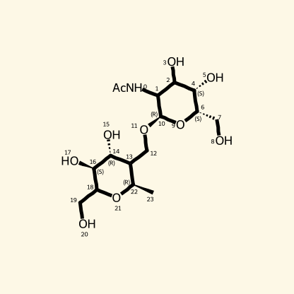 CC(=O)NC1C(O)[C@H](O)[C@H](CO)O[C@H]1OCC1[C@@H](O)[C@H](O)C(CO)O[C@@H]1C